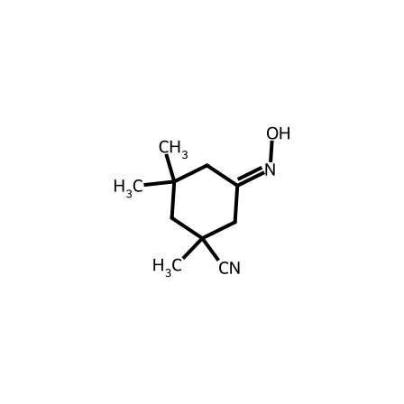 CC1(C)C/C(=N\O)CC(C)(C#N)C1